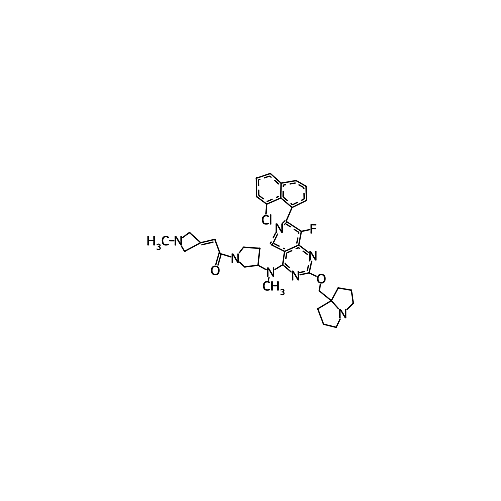 CN1CC(=CC(=O)N2CCC(N(C)c3nc(OCC45CCCN4CCC5)nc4c(F)c(-c5cccc6cccc(Cl)c56)ncc34)C2)C1